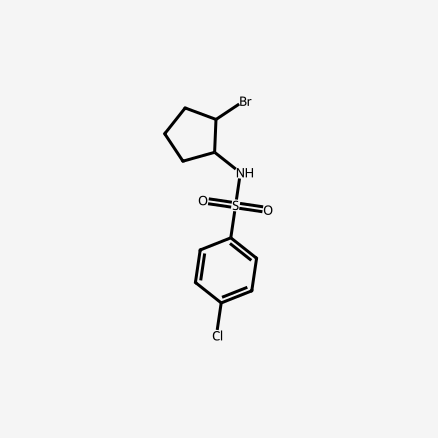 O=S(=O)(NC1CCCC1Br)c1ccc(Cl)cc1